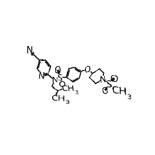 CC(C)CN(c1ccc(C#N)cn1)S(=O)(=O)c1ccc(OC2CCN(S(C)(=O)=O)CC2)cc1